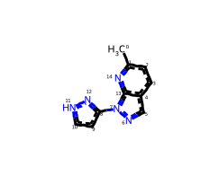 Cc1ccc2cnn(-c3cc[nH]n3)c2n1